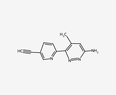 C#Cc1ccc(-c2nnc(N)cc2C)nc1